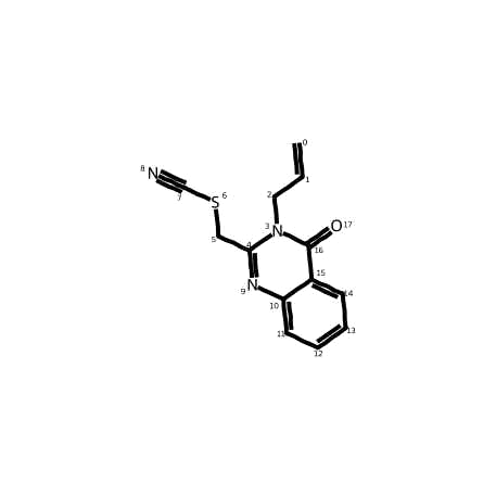 C=CCn1c(CSC#N)nc2ccccc2c1=O